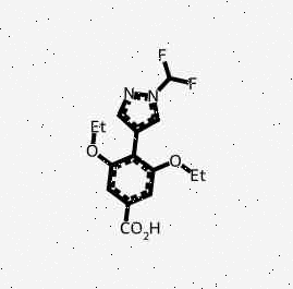 CCOc1cc(C(=O)O)cc(OCC)c1-c1cnn(C(F)F)c1